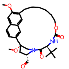 COc1cc2ccc3cc2cc1CCCCCCOC(=O)N[C@@H](C(C)(C)C)C(=O)N1C[C@@]3(OC)C[C@H]1C=O